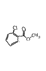 COC(=O)c1[c]cccc1Cl